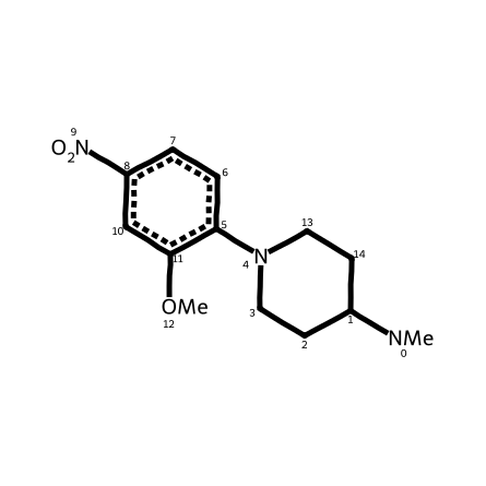 CNC1CCN(c2ccc([N+](=O)[O-])cc2OC)CC1